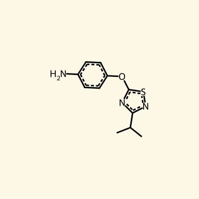 CC(C)c1nsc(Oc2ccc(N)cc2)n1